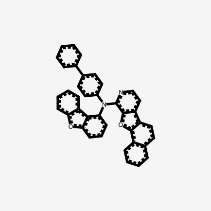 c1ccc(-c2ccc(N(c3nccc4c3oc3c5ccccc5ccc43)c3cccc4oc5ccccc5c34)cc2)cc1